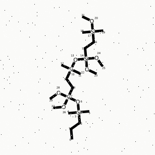 CCC[Si](C)(C)O[Si](CC[Si](C)(C)O[Si](CC[Si](C)(C)OC)(OC)OC)(OC)OC